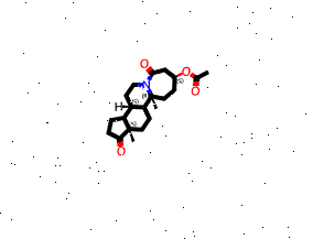 CC(=O)O[C@H]1CC[C@]2(C)C3CC[C@]4(C)C(=O)CCC4[C@@H]3CCN2C(=O)C1